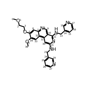 COCCOc1cc2ncc3c(NCc4cccnc4)nc(NCc4cccnc4)cc3c2cc1OC